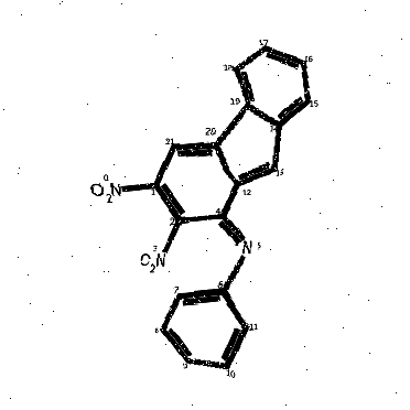 O=[N+]([O-])C1=C([N+](=O)[O-])C(=Nc2ccccc2)C2=Cc3ccccc3C2=C1